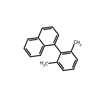 Cc1c[c]cc(C)c1-c1cccc2ccccc12